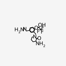 NN=Cc1cccc(CN2CCCC(N)C2=O)c1.O=C(O)C(F)(F)F